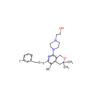 CC1(C)Cc2c(C#N)c(SCCc3cccc(F)c3)nc(N3CCN(CCO)CC3)c2CO1